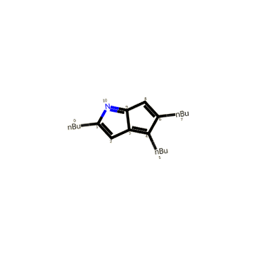 CCCCC1=[C]C2=C(CCCC)C(CCCC)=CC2=N1